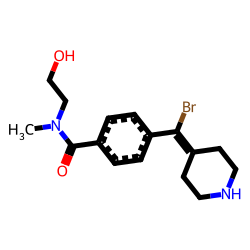 CN(CCO)C(=O)c1ccc(C(Br)=C2CCNCC2)cc1